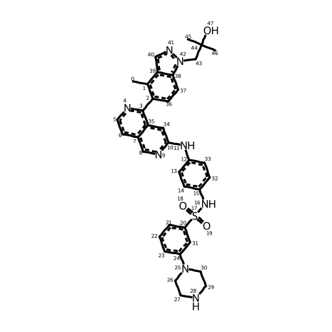 Cc1c(-c2nccc3cnc(Nc4ccc(NS(=O)(=O)c5cccc(N6CCNCC6)c5)cc4)cc23)ccc2c1cnn2CC(C)(C)O